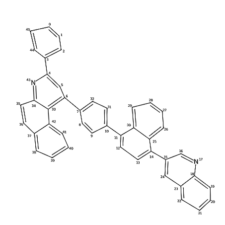 c1ccc(-c2cc(-c3ccc(-c4ccc(-c5cnc6ccccc6c5)c5ccccc45)cc3)c3c(ccc4ccccc43)n2)cc1